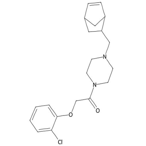 O=C(COc1ccccc1Cl)N1CCN(CC2CC3C=CC2C3)CC1